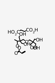 C=CC(=O)OOC(C)C(CO)(CO)COCC(CO)(CO)CO.O=C(O)CCC(=O)O